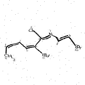 C\C=C/C=C(\C(Cl)=N/C=C/C(C)C)C(C)(C)C